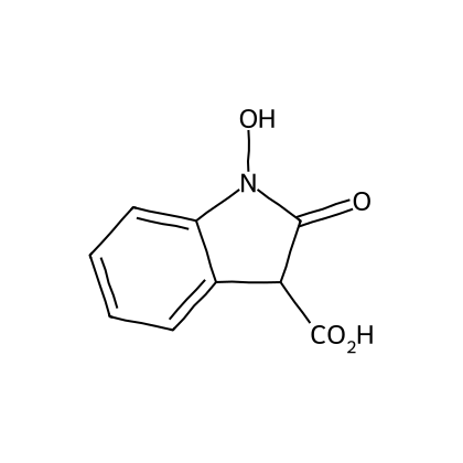 O=C(O)C1C(=O)N(O)c2ccccc21